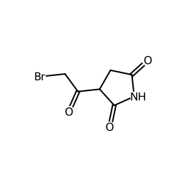 O=C1CC(C(=O)CBr)C(=O)N1